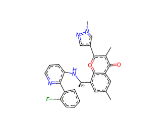 Cc1cc([C@@H](C)Nc2cccnc2-c2ccccc2F)c2oc(-c3cnn(C)c3)c(C)c(=O)c2c1